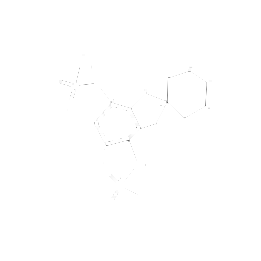 O=S(=O)(Oc1ccc(OS(=O)(=O)C(F)(F)F)c2c1CC1(CCCCC1)C2)C(F)(F)F